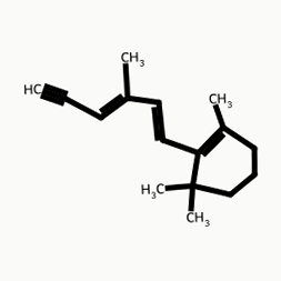 C#CC=C(C)C=CC1=C(C)CCCC1(C)C